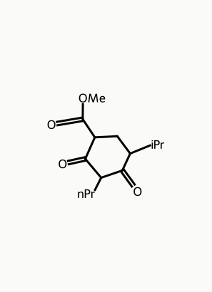 CCCC1C(=O)C(C(=O)OC)CC(C(C)C)C1=O